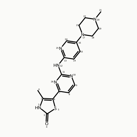 Cc1[nH]c(=O)sc1-c1ccnc(Nc2ccc(N3CCN(C)CC3)cn2)n1